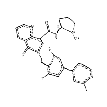 Cc1cc(-c2cc(F)c(Cn3cc(C(=O)N[C@H]4CCC[C@@H]4O)c4ncccc4c3=O)c(F)c2)ccn1